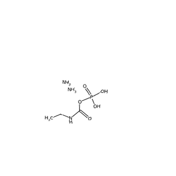 CCNC(=O)OP(=O)(O)O.N.N